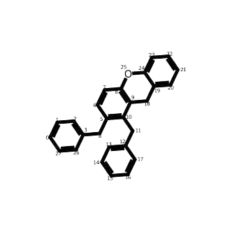 c1ccc(Cc2ccc3c(c2Cc2ccccc2)Cc2ccccc2O3)cc1